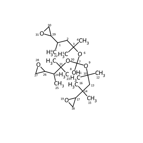 CC(CC(C)(C)OC(O)(OC(C)(C)CC(C)(C)C1CO1)OC(C)(C)C(C)C1CO1)C1CO1